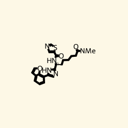 CNC(=O)CCCCC[C@H](NC(=O)c1cncs1)c1ncc(-c2cccc3ccoc23)[nH]1